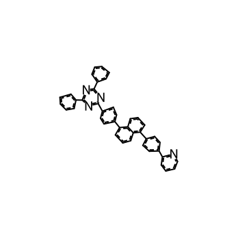 c1ccc(-c2nc(-c3ccccc3)nc(-c3ccc(-c4cccc5c(-c6ccc(-c7ccccn7)cc6)cccc45)cc3)n2)cc1